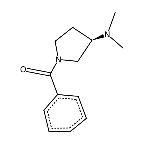 CN(C)[C@@H]1CCN(C(=O)c2cc[c]cc2)C1